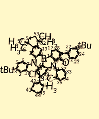 Cc1cc(C(C)(C)C)ccc1N1c2cc3c(cc2B2c4ccc5c(oc6ccc(C(C)(C)C)cc65)c4N(c4ccccc4C)c4cc(-c5ccccc5)cc1c42)C(C)(C)CCC3(C)C